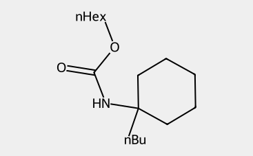 CCCCCCOC(=O)NC1(CCCC)CCCCC1